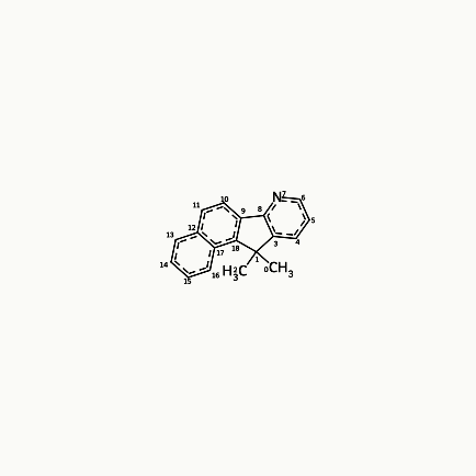 CC1(C)c2cccnc2-c2ccc3ccccc3c21